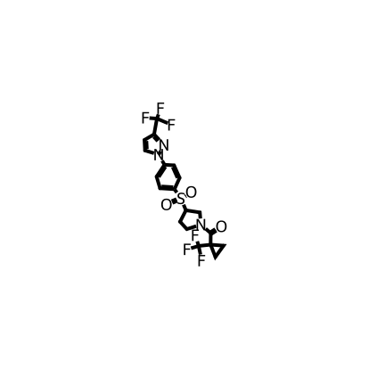 O=C(N1CCC(S(=O)(=O)c2ccc(-n3ccc(C(F)(F)F)n3)cc2)C1)C1(C(F)(F)F)CC1